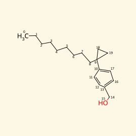 CCCCCCCCCC1(c2ccc(CO)cc2)CC1